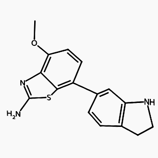 COc1ccc(-c2ccc3c(c2)NCC3)c2sc(N)nc12